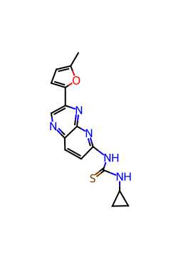 Cc1ccc(-c2cnc3ccc(NC(=S)NC4CC4)nc3n2)o1